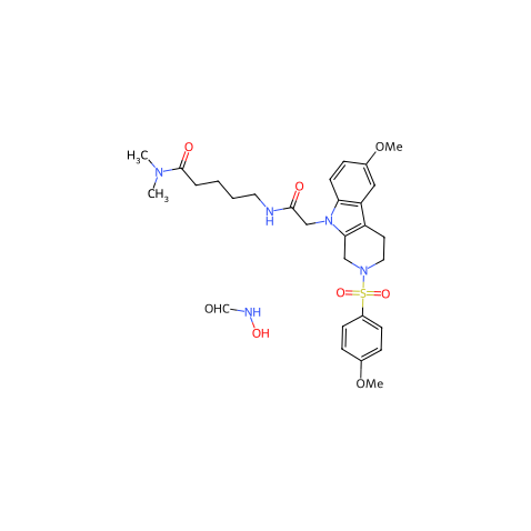 COc1ccc(S(=O)(=O)N2CCc3c(n(CC(=O)NCCCCC(=O)N(C)C)c4ccc(OC)cc34)C2)cc1.O=CNO